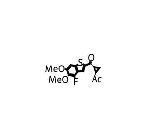 COc1cc2sc(C(=O)[C@@H]3C[C@@H]3C(C)=O)cc2c(F)c1OC